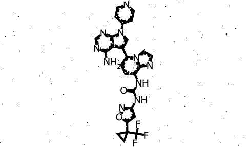 Nc1ncnc2c1c(-c1ccc(NC(=O)Nc3cc(C4(C(F)(F)F)CC4)on3)c3nccn13)cn2-c1ccncc1